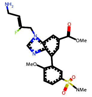 CNS(=O)(=O)c1ccc(OC)c(-c2cc(C(=O)OC)cc3c2ncn3CC(F)=CCN)c1